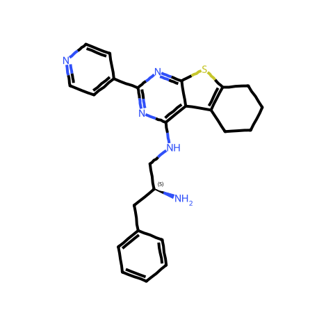 N[C@H](CNc1nc(-c2ccncc2)nc2sc3c(c12)CCCC3)Cc1ccccc1